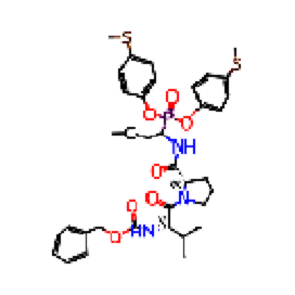 CCCC(NC(=O)[C@@H]1CCCN1C(=O)[C@@H](NC(=O)OCc1ccccc1)C(C)C)P(=O)(Oc1ccc(SC)cc1)Oc1ccc(SC)cc1